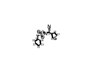 N#CC(=NOS(=O)(=O)Cc1ccccc1)c1ccsc1